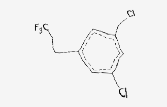 FC(F)(F)Cc1cc(Cl)cc(Cl)c1